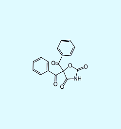 O=C1NC(=O)C(C(=O)c2ccccc2)(C(=O)c2ccccc2)O1